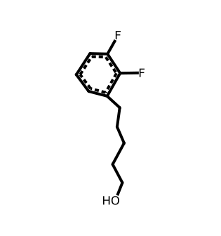 OCCCCCc1cccc(F)c1F